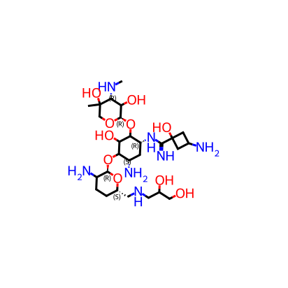 CN[C@@H]1C(O)[C@@H](OC2C(O)C(O[C@H]3O[C@H](CNCC(O)CO)CCC3N)[C@@H](N)C[C@H]2NC(=N)C2(O)CC(N)C2)OCC1(C)O